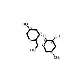 C[C@@H]1CO[C@H](O[C@H]2C[C@H](O)COC2CO)[C@@H](O)C1